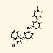 CCn1cc(-c2ccnc(Nc3cccc(N4CCNCC4)c3)n2)c2ccncc21